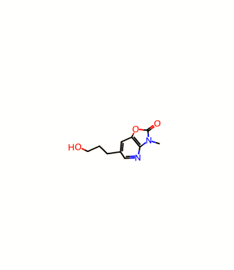 Cn1c(=O)oc2cc(CCCO)cnc21